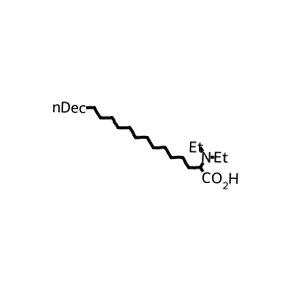 CCCCCCCCCCCCCCCCCCCCCCC(C(=O)O)N(CC)CC